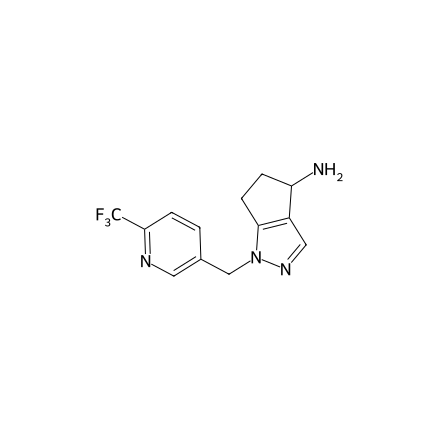 NC1CCc2c1cnn2Cc1ccc(C(F)(F)F)nc1